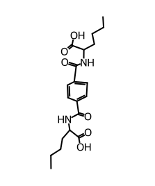 CCCCC(NC(=O)c1ccc(C(=O)NC(CCCC)C(=O)O)cc1)C(=O)O